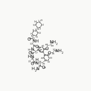 Cc1ccc(-c2ccc(C(=O)NCC(=O)N(C)[C@@H]3C(=O)N[C@@H](C)C(=O)N[C@H](C(N)=O)Cc4ccc(OCCN)c(c4)-c4cc3ccc4OCCN)cc2)cc1